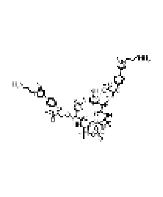 C[n+]1cc(-c2ccc(OC(CO/N=C(/C(=O)N[C@@H]3C(=O)N(OS(=O)(=O)ON4C(=O)[C@@H](NC(=O)/C(=N/OCC(Oc5ccc(-c6cn(CCCN)[n+](C)c6)cc5)C(=O)O)c5csc(N)n5)C4(C)C)C3(C)C)c3csc(N)n3)C(=O)O)cc2)cn1CCCN